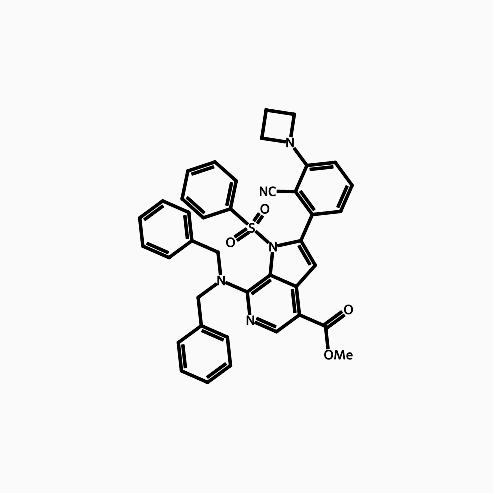 COC(=O)c1cnc(N(Cc2ccccc2)Cc2ccccc2)c2c1cc(-c1cccc(N3CCC3)c1C#N)n2S(=O)(=O)c1ccccc1